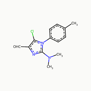 Cc1ccc(-n2c(N(C)C)nc(C=O)c2Cl)cc1